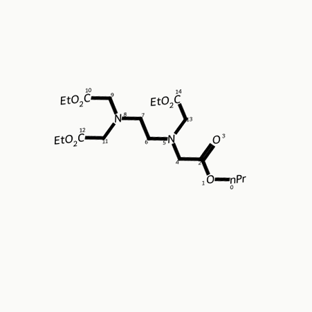 CCCOC(=O)CN(CCN(CC(=O)OCC)CC(=O)OCC)CC(=O)OCC